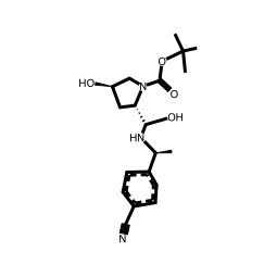 C[C@H](NC(O)[C@@H]1C[C@@H](O)CN1C(=O)OC(C)(C)C)c1ccc(C#N)cc1